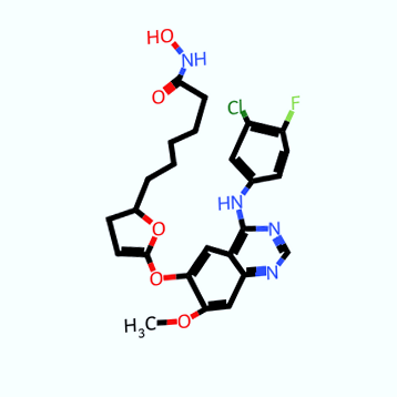 COc1cc2ncnc(Nc3ccc(F)c(Cl)c3)c2cc1OC1=CCC(CCCCCC(=O)NO)O1